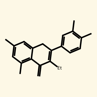 C=C1C(CC)=C(c2ccc(C)c(C)c2)Cc2cc(C)cc(C)c21